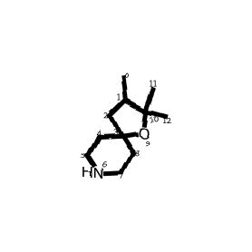 CC1CC2(CCNCC2)OC1(C)C